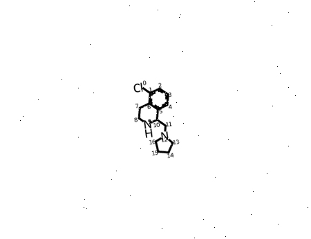 Clc1cccc2c1CCNC2CN1CCCC1